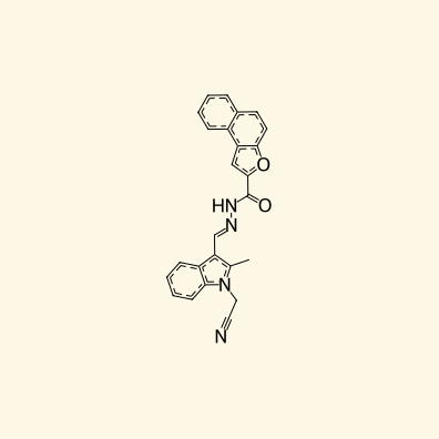 Cc1c(C=NNC(=O)c2cc3c(ccc4ccccc43)o2)c2ccccc2n1CC#N